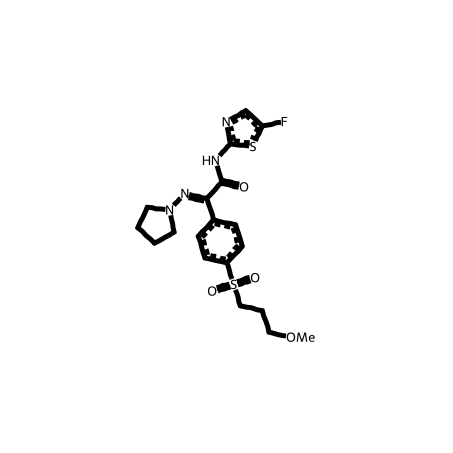 COCCCS(=O)(=O)c1ccc(/C(=N\N2CCCC2)C(=O)Nc2ncc(F)s2)cc1